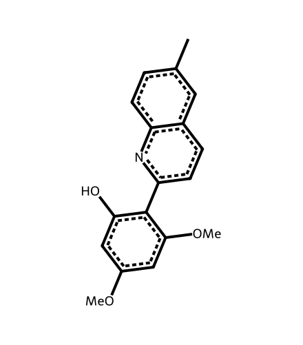 COc1cc(O)c(-c2ccc3cc(C)ccc3n2)c(OC)c1